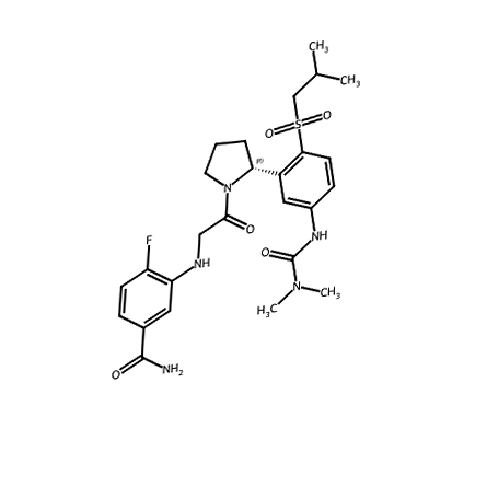 CC(C)CS(=O)(=O)c1ccc(NC(=O)N(C)C)cc1[C@H]1CCCN1C(=O)CNc1cc(C(N)=O)ccc1F